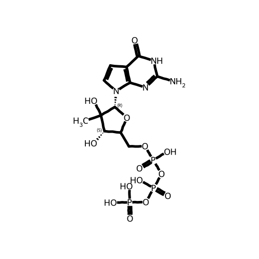 CC1(O)[C@@H](O)C(COP(=O)(O)OP(=O)(O)OP(=O)(O)O)O[C@H]1n1ccc2c(=O)[nH]c(N)nc21